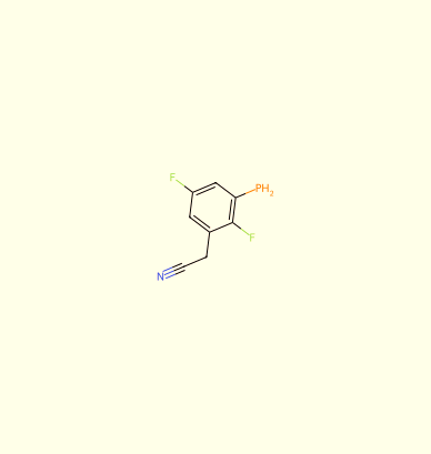 N#CCc1cc(F)cc(P)c1F